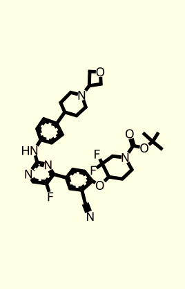 CC(C)(C)OC(=O)N1CCC(Oc2ccc(-c3nc(Nc4ccc(C5CCN(C6COC6)CC5)cc4)ncc3F)cc2C#N)C(F)(F)C1